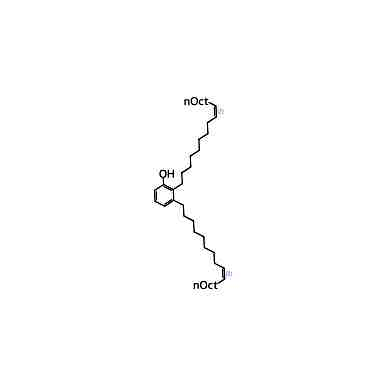 CCCCCCCC/C=C\CCCCCCCCc1cccc(O)c1CCCCCCCC/C=C\CCCCCCCC